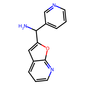 NC(c1cccnc1)c1cc2cccnc2o1